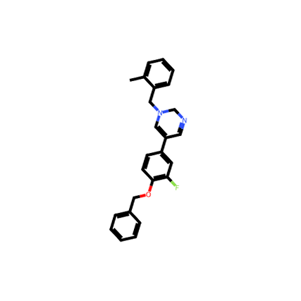 Cc1ccccc1CN1C=C(c2ccc(OCc3ccccc3)c(F)c2)C=NC1